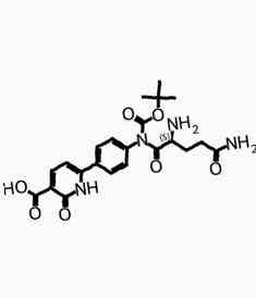 CC(C)(C)OC(=O)N(C(=O)[C@@H](N)CCC(N)=O)c1ccc(-c2ccc(C(=O)O)c(=O)[nH]2)cc1